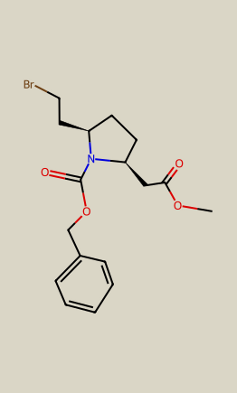 COC(=O)C[C@@H]1CC[C@H](CCBr)N1C(=O)OCc1ccccc1